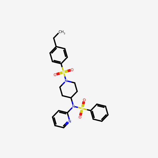 CCc1ccc(S(=O)(=O)N2CCC(N(c3ccccn3)S(=O)(=O)c3ccccc3)CC2)cc1